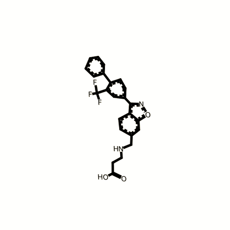 O=C(O)CCNCc1ccc2c(-c3ccc(-c4ccccc4)c(C(F)(F)F)c3)noc2c1